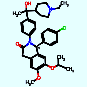 CCN1CCC(C(C)(O)c2ccc(N3C(=O)Cc4cc(OC)c(OC(C)C)cc4[C@@H]3c3ccc(Cl)cc3)cc2)CC1